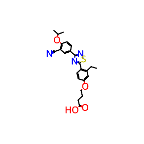 CCc1cc(OCCCC(=O)O)ccc1-c1nc(-c2ccc(OC(C)C)c(C#N)c2)ns1